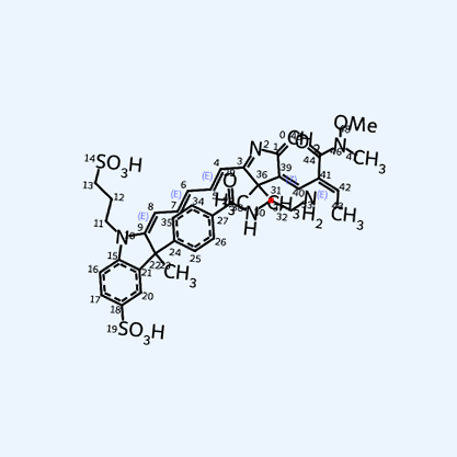 C=C1N=C(/C=C/C=C/C=C2/N(CCCS(=O)(=O)O)c3ccc(S(=O)(=O)O)cc3C2(C)c2ccc(C(=O)NCCN)cc2)C(C)(C)/C1=C/C(=C\C)C(=O)N(C)OC